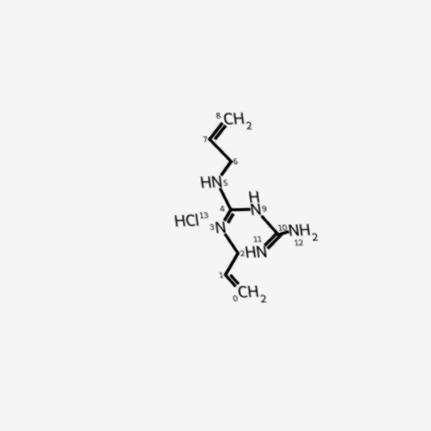 C=CC/N=C(/NCC=C)NC(=N)N.Cl